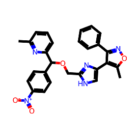 Cc1cccc(C(OCc2nc(-c3c(-c4ccccc4)noc3C)c[nH]2)c2ccc([N+](=O)[O-])cc2)n1